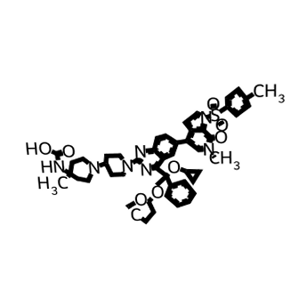 Cc1ccc(S(=O)(=O)n2ccc3c(-c4ccc5nc(N6CCC(N7CCC(C)(NC(=O)O)CC7)CC6)nc(C(COC6CCCCO6)(OC6CC6)c6ccccc6)c5c4)cn(C)c(=O)c32)cc1